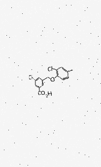 Cc1ccc(OCc2cc(Cl)cc(C(=O)O)c2)c(Cl)c1